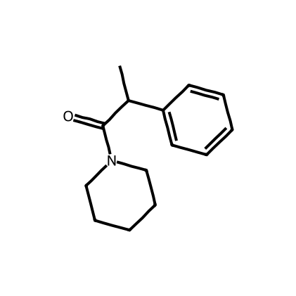 CC(C(=O)N1CCCCC1)c1ccccc1